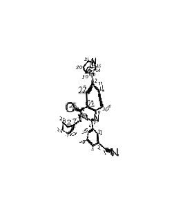 N#Cc1cccc(-c2nc3ccc(N4CCN5CCC4CC5)cc3c(=O)n2C2CCC2)c1